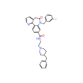 O=C(NCCN1CCC(Cc2ccccc2)CC1)c1ccc2c(c1)N(Cc1cccc(F)c1)C(=O)Cc1cccnc1-2